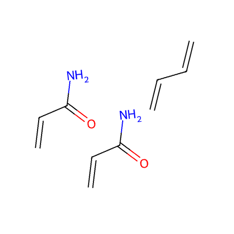 C=CC(N)=O.C=CC(N)=O.C=CC=C